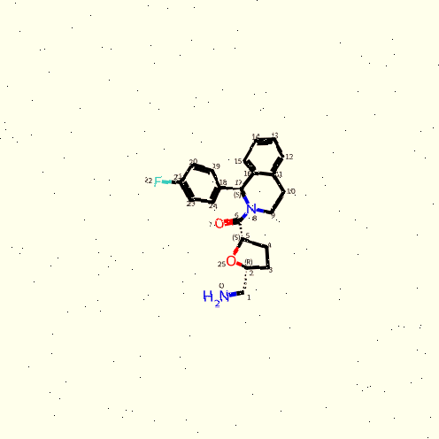 NC[C@H]1CC[C@@H](C(=O)N2CCc3ccccc3[C@@H]2c2ccc(F)cc2)O1